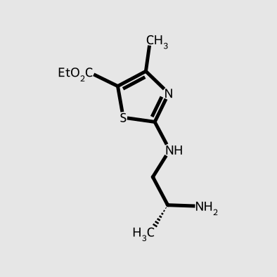 CCOC(=O)c1sc(NC[C@@H](C)N)nc1C